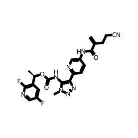 C=C(CCC#N)C(=O)Nc1ccc(-c2nnn(C)c2NC(=O)O[C@H](C)c2cc(F)cnc2F)nc1